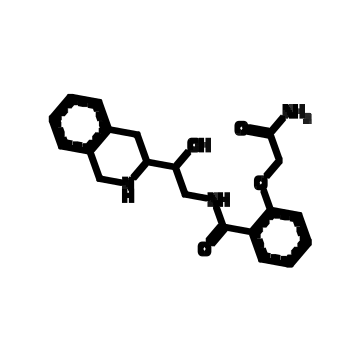 NC(=O)COc1ccccc1C(=O)NCC(O)C1Cc2ccccc2CN1